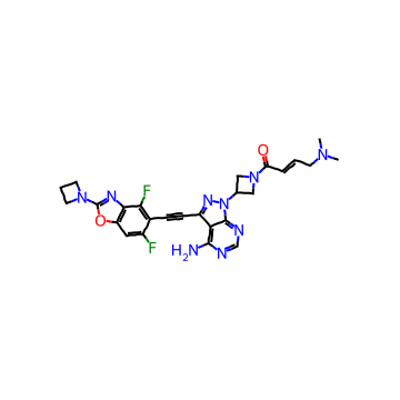 CN(C)C/C=C/C(=O)N1CC(n2nc(C#Cc3c(F)cc4oc(N5CCC5)nc4c3F)c3c(N)ncnc32)C1